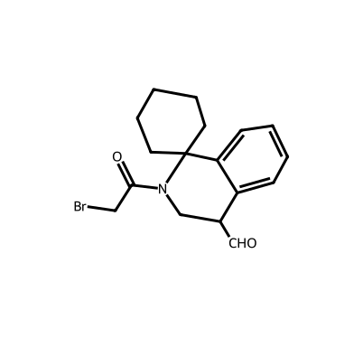 O=CC1CN(C(=O)CBr)C2(CCCCC2)c2ccccc21